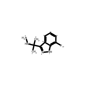 CC(C)(NN)c1n[nH]c2c(F)cccc12